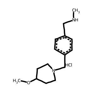 CNCc1ccc(CN2CCC(OC)CC2)cc1.Cl